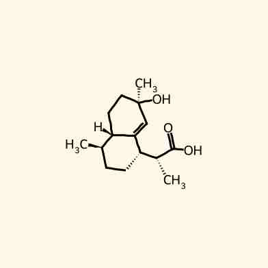 C[C@@H]1CC[C@@H]([C@@H](C)C(=O)O)C2=C[C@](C)(O)CC[C@H]21